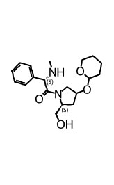 CN[C@H](C(=O)N1CC(OC2CCCCO2)C[C@H]1CO)c1ccccc1